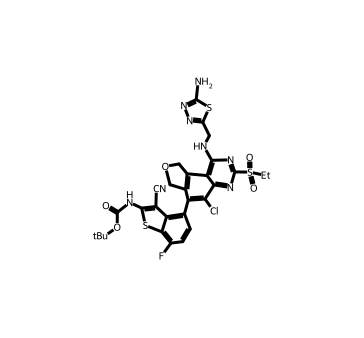 CCS(=O)(=O)c1nc(NCc2nnc(N)s2)c2c3c(c(-c4ccc(F)c5sc(NC(=O)OC(C)(C)C)c(C#N)c45)c(Cl)c2n1)COC3